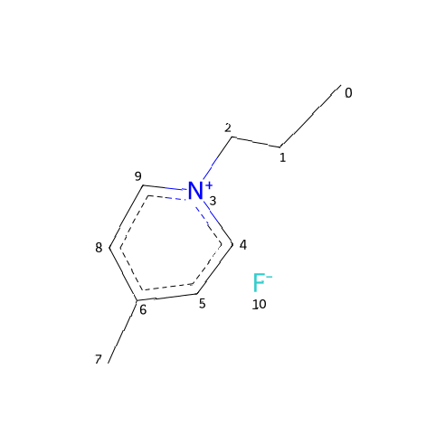 CCC[n+]1ccc(C)cc1.[F-]